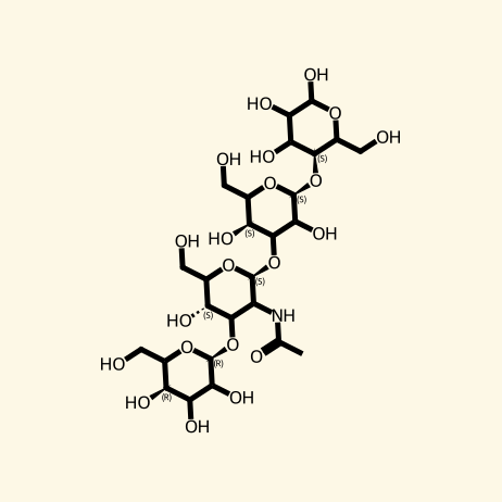 CC(=O)NC1C(O[C@@H]2OC(CO)[C@H](O)C(O)C2O)[C@H](O)C(CO)O[C@H]1OC1C(O)[C@H](O[C@@H]2C(CO)OC(O)C(O)C2O)OC(CO)[C@@H]1O